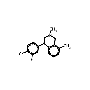 Cc1cccc2c1CN(C)CC2c1ccc(Cl)c(F)c1